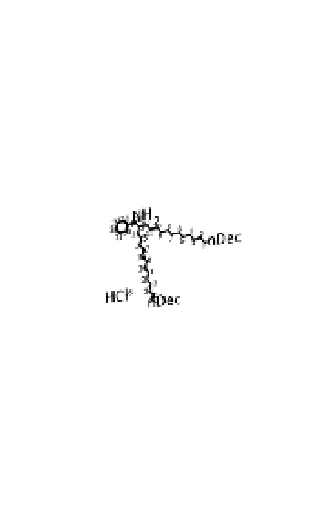 CCCCCCCCCCCCCCCCCCCCCCC(CCCCCCCCCCCCCCCCCCCCCC)C(N)c1ccccc1.Cl